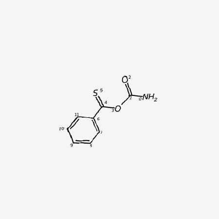 NC(=O)OC(=S)c1ccccc1